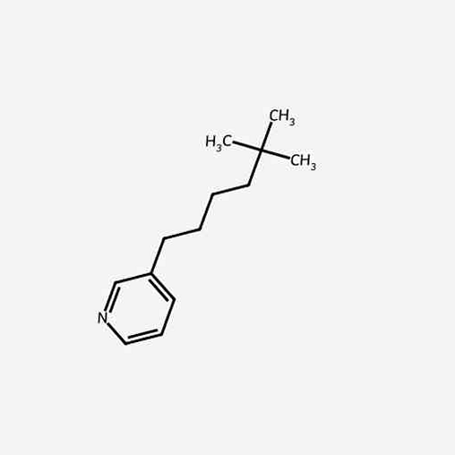 CC(C)(C)CCCCc1cccnc1